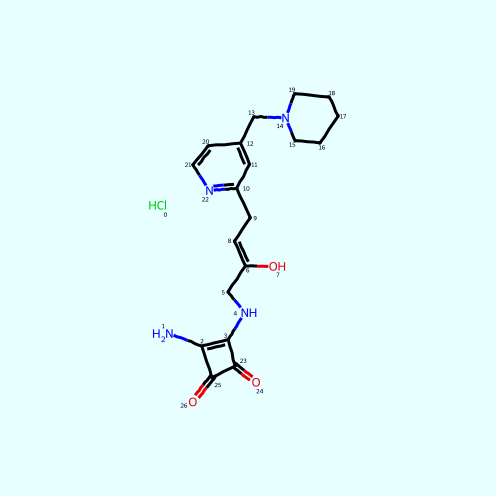 Cl.Nc1c(NC/C(O)=C/Cc2cc(CN3CCCCC3)ccn2)c(=O)c1=O